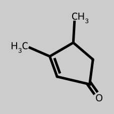 CC1=CC(=O)CC1C